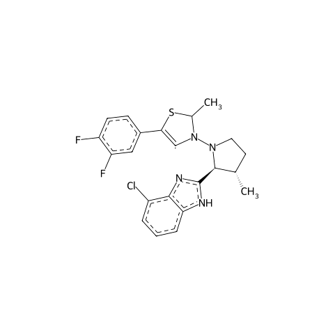 CC1SC(c2ccc(F)c(F)c2)=[C]N1N1CC[C@H](C)[C@H]1c1nc2c(Cl)cccc2[nH]1